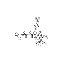 COC(=O)C1O[C@@H](Oc2ccc(COC(=O)Oc3ccc([N+](=O)[O-])cc3)cc2NC(=O)CCNC(=O)OCC2c3ccccc3-c3ccccc32)[C@@H](OC(C)=O)C(OC(C)=O)[C@@H]1OC(C)=O